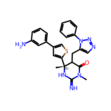 CN1C(=N)N[C@](C)(c2cc(-c3cccc(N)c3)cs2)C(Cc2cnnn2-c2ccccc2)C1=O